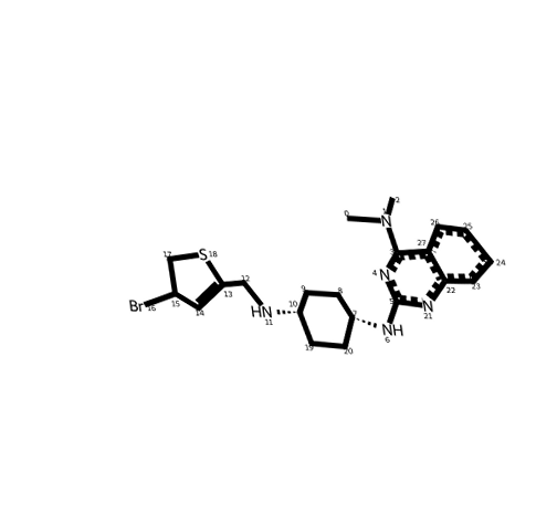 CN(C)c1nc(N[C@H]2CC[C@@H](NCC3=CC(Br)CS3)CC2)nc2ccccc12